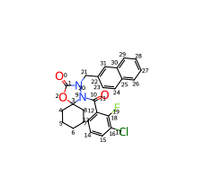 O=C1OC2(CCCCC2)N(C(=O)c2cccc(Cl)c2F)N1Cc1ccc2ccccc2c1